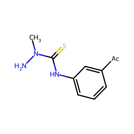 CC(=O)c1cccc(NC(=S)N(C)N)c1